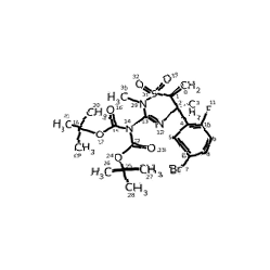 C=C1[C@@](C)(c2cc(Br)ccc2F)N=C(N(C(=O)OC(C)(C)C)C(=O)OC(C)(C)C)N(C)S1(=O)=O